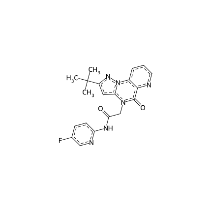 CC(C)(C)c1cc2n(CC(=O)Nc3ccc(F)cn3)c(=O)c3ncccc3n2n1